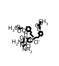 COC(=O)COc1cccc(CCC[N+]2(CCCc3cccc(OCC(=O)OC)c3)CCC[C@H](NC(=O)c3nc(Cl)c(N)nc3N)C2)c1.[Cl-]